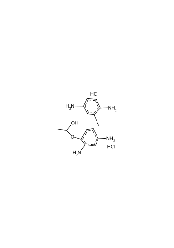 CC(O)Oc1ccc(N)cc1N.Cc1cc(N)ccc1N.Cl.Cl